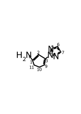 NC1=CC(n2nccn2)=CCC1